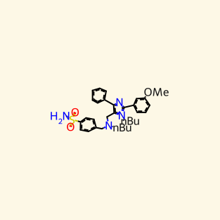 CCCCN(Cc1ccc(S(N)(=O)=O)cc1)Cc1c(-c2ccccc2)nc(-c2cccc(OC)c2)n1CCCC